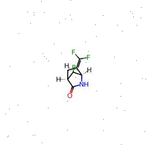 O=C1N[C@@H]2C(=C(F)F)C[C@H]1[C@H]2Br